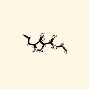 CCCC1=NSC(C(=O)OCC)C1=O